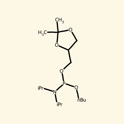 CCCCOP(OCC1COC(C)(C)O1)N(C(C)C)C(C)C